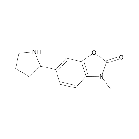 Cn1c(=O)oc2cc(C3CCCN3)ccc21